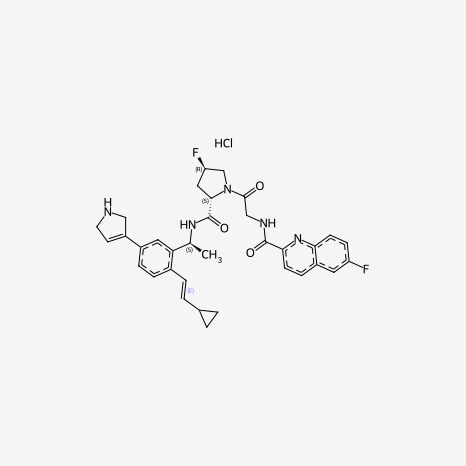 C[C@H](NC(=O)[C@@H]1C[C@@H](F)CN1C(=O)CNC(=O)c1ccc2cc(F)ccc2n1)c1cc(C2=CCNC2)ccc1/C=C/C1CC1.Cl